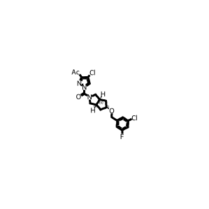 CC(=O)c1nn(C(=O)N2C[C@H]3C[C@H](OCc4cc(F)cc(Cl)c4)C[C@H]3C2)cc1Cl